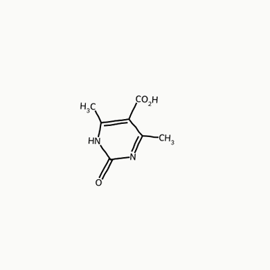 Cc1nc(=O)[nH]c(C)c1C(=O)O